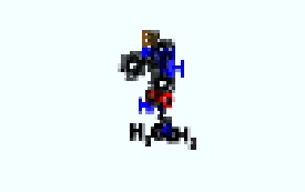 CN(C)CCCNS(=O)(=O)c1ccc(Nc2cc(-c3ccccc3)nc3c(Br)cnn23)cc1